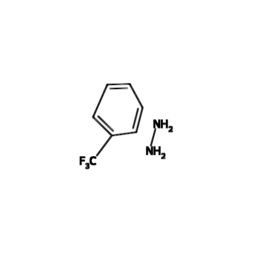 FC(F)(F)c1ccccc1.NN